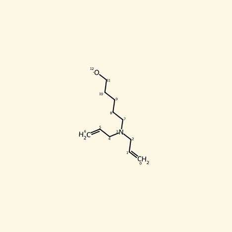 C=CCN(CC=C)CCCCC[O]